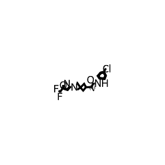 C[C@H](C(=O)Nc1ccc(Cl)cc1)C1CC2(C1)CN(c1cc(C(F)F)on1)C2